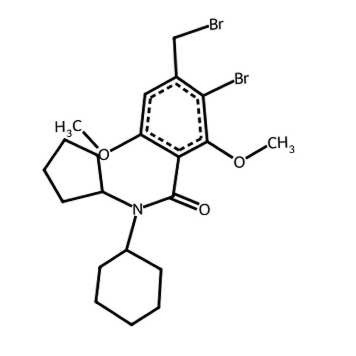 COc1cc(CBr)c(Br)c(OC)c1C(=O)N(C1CCCCC1)C1CCCC1